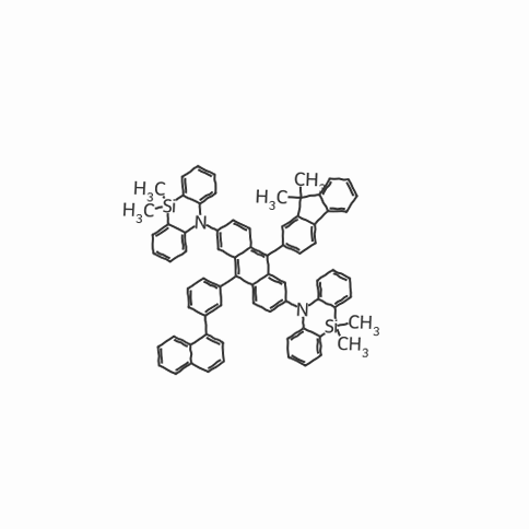 CC1(C)c2ccccc2-c2ccc(-c3c4ccc(N5c6ccccc6[Si](C)(C)c6ccccc65)cc4c(-c4cccc(-c5cccc6ccccc56)c4)c4ccc(N5c6ccccc6[Si](C)(C)c6ccccc65)cc34)cc21